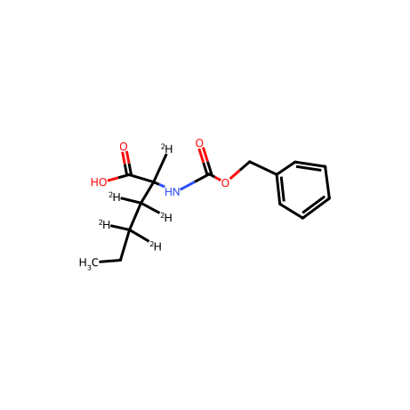 [2H]C([2H])(CC)C([2H])([2H])C([2H])(NC(=O)OCc1ccccc1)C(=O)O